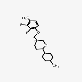 Cc1ccc(OC[C@@H]2CCC(C3CCC(C)CC3)OC2)c(F)c1F